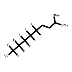 COC(CCC(F)(F)C(F)(F)C(F)(F)C(F)(F)C(F)(F)C(F)(F)F)OC